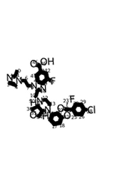 Cc1nccn1CCn1c(CN2CCN(c3cccc4c3O[C@@](C)(c3ccc(Cl)cc3F)O4)[C@@H]3COC[C@@H]32)nc2c(F)cc(C(=O)O)cc21